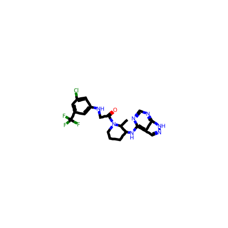 CC1C(Nc2ncnc3[nH]ncc23)CCCN1C(=O)CNc1cc(Cl)cc(C(F)(F)F)c1